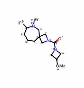 COC1CN(C(=O)N2CC3(CCCC(C(C)C)N(C(C)C)C3)C2)C1